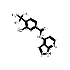 CC(C)(N)c1ccc(C(=O)Nc2ccnc3[nH]ncc23)cc1C#N